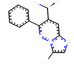 Cc1cnc2cc([C@H](C)N)c(-c3ccccc3)nn12